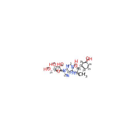 C[C@H](Nc1ncnc2c1ncn2[C@@H]1O[C@H](CO)C(O)C1O)[C@H](O)c1cccc(O)c1